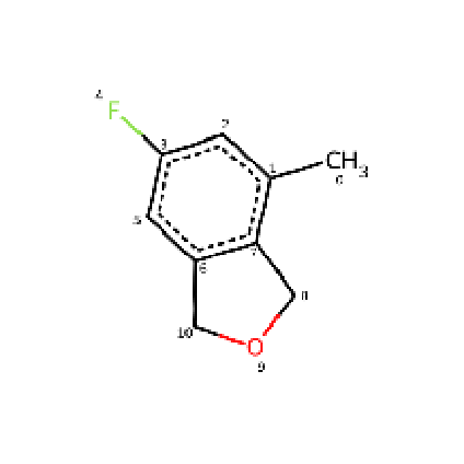 Cc1cc(F)cc2c1COC2